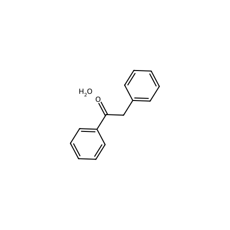 O.O=C(Cc1ccccc1)c1ccccc1